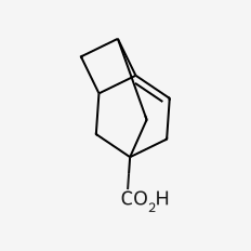 O=C(O)C12CC=C3C(CC3C1)C2